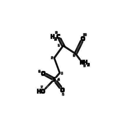 C=C(CCS(=O)(=O)O)C(N)=O